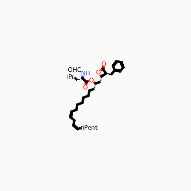 CCCCC/C=C\C/C=C\CCCCCCC[C@@H](C[C@@H]1OC(=O)[C@H]1Cc1ccccc1)OC(=O)[C@H](CC(C)C)NC=O